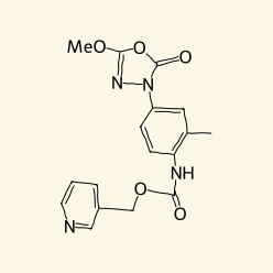 COc1nn(-c2ccc(NC(=O)OCc3cccnc3)c(C)c2)c(=O)o1